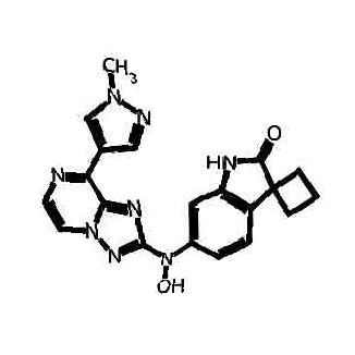 Cn1cc(-c2nccn3nc(N(O)c4ccc5c(c4)NC(=O)C54CCC4)nc23)cn1